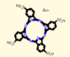 O=S(=O)(O)c1ccc2c(c1)-c1nc-2nc2[n-]c(nc3nc(nc4[n-]c(n1)c1ccc(S(=O)(=O)O)cc41)-c1ccc(S(=O)(=O)O)cc1-3)c1ccc(S(=O)(=O)O)cc21.[Zn+2]